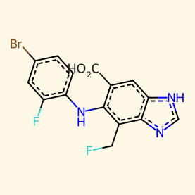 O=C(O)c1cc2[nH]cnc2c(CF)c1Nc1ccc(Br)cc1F